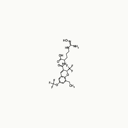 CCc1cc(OC(F)(F)F)cc2c1O[C@H](C(F)(F)F)C(C(=O)NC(CCCN/C(N)=N\O)C(=O)O)=C2